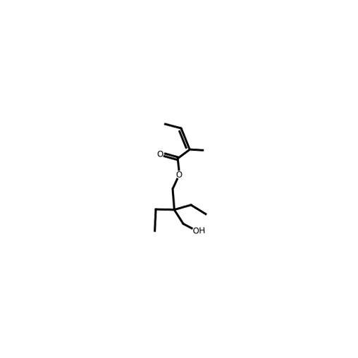 CC=C(C)C(=O)OCC(CC)(CC)CO